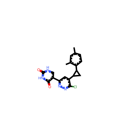 Cc1ccc(C2CC2c2cc(-c3c[nH]c(=O)[nH]c3=O)nnc2Cl)c(C)c1